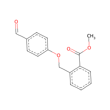 COC(=O)c1ccccc1COc1ccc(C=O)cc1